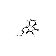 CC(C)Cc1cnc2c(c1)C(=O)C(=O)c1cccnc1-2